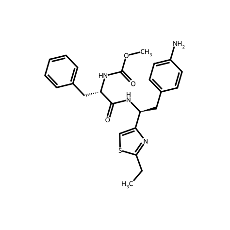 CCc1nc([C@H](Cc2ccc(N)cc2)NC(=O)[C@H](Cc2ccccc2)NC(=O)OC)cs1